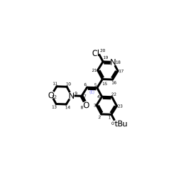 CC(C)(C)c1ccc(/C(=C\C(=O)N2CCOCC2)c2ccnc(Cl)c2)cc1